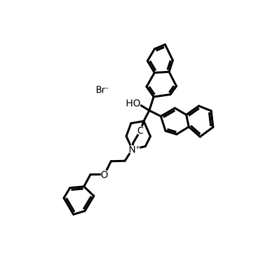 OC(c1ccc2ccccc2c1)(c1ccc2ccccc2c1)C12CC[N+](CCOCc3ccccc3)(CC1)CC2.[Br-]